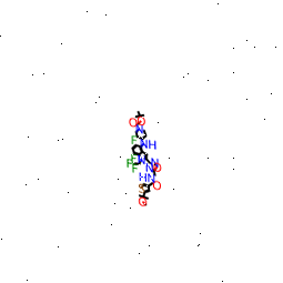 COC(C)(C)c1cc(C(=O)NCc2nc(-c3cc4c(N[C@@H]5CCN(C(=O)OC(C)(C)C)C[C@@H]5F)cccc4n3CC(F)(F)F)no2)cs1